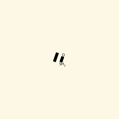 C=C.O=[SH2]